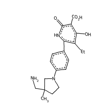 CCc1c(-c2ccc(N3CCC(C)(CN)C3)cc2)[nH]c(=O)c(C(=O)O)c1O